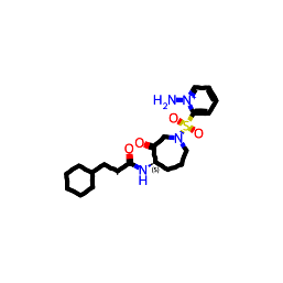 N[n+]1ccccc1S(=O)(=O)N1CCC[C@H](NC(=O)[CH]CC2CCCCC2)C(=O)C1